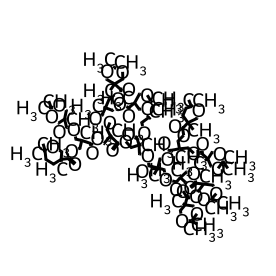 C#CCOC(=O)C(C)(COC(=O)C(C)(COC(=O)C(C)(COC(=O)C1(C)CCC(C)(C)OC1)COC(=O)C1(C)COC(C)(C)OC1)COC(=O)C(C)(COC(=O)C1(C)COC(C)(C)OC1)COC(=O)C1(C)COC(C)(C)OC1)COC(=O)C(C)(COC(=O)C(C)(COC(=O)C1(C)CCC(C)(C)OC1)COC(=O)C1(C)COC(C)(C)OC1)COC(=O)C(C)(COC(=O)C1(C)COC(C)(C)OC1)COC(=O)C1(C)COC(C)(C)OC1